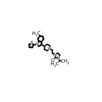 Cc1ccc2c(C3CCN(CCN4CCN(C(C)C)C4=O)CC3)cn(-c3cccs3)c2c1